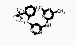 Cc1cc(Nc2cc(Nc3ccccc3P(C)(C)=O)ncn2)nc(C)n1